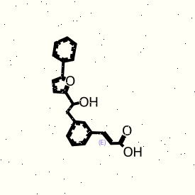 O=C(O)/C=C/c1cccc(CC(O)c2ccc(-c3ccccc3)o2)c1